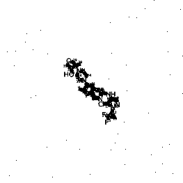 Cc1cc2cnc(Nc3cnn(C4CC4(F)F)c3Cl)nc2cc1N1CCN(C2(C)COCC2O)CC1